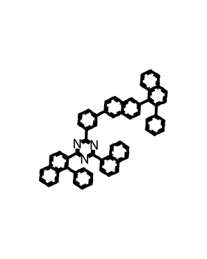 c1ccc(-c2ccc3ccccc3c2-c2ccc3cc(-c4cccc(-c5nc(-c6ccc7ccccc7c6-c6ccccc6)nc(-c6cccc7ccccc67)n5)c4)ccc3c2)cc1